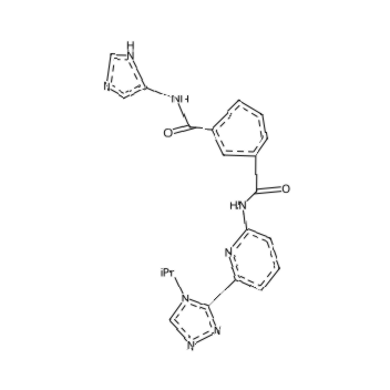 CC(C)n1cnnc1-c1cccc(NC(=O)c2cccc(C(=O)Nc3cnc[nH]3)c2)n1